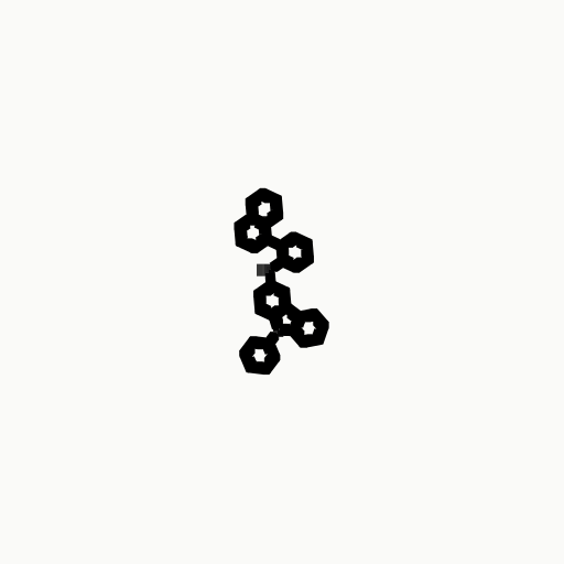 c1ccc(-n2c3ccccc3c3cc(Nc4ccccc4-c4cccc5ccccc45)ccc32)cc1